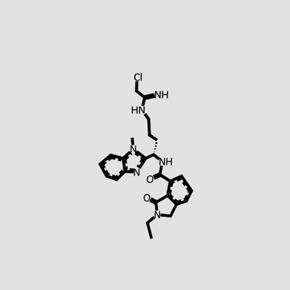 CCN1Cc2cccc(C(=O)N[C@@H](CCCNC(=N)CCl)c3nc4ccccc4n3C)c2C1=O